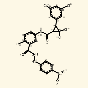 O=C(NNc1ccc([N+](=O)[O-])cc1)c1cc(NC(=O)C2C(c3cc(Cl)cc(Cl)c3)C2(Cl)Cl)ccc1Cl